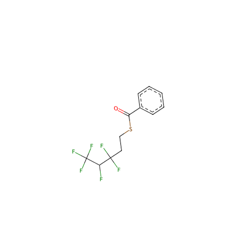 O=C(SCCC(F)(F)C(F)C(F)(F)F)c1ccccc1